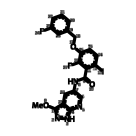 COc1n[nH]c2ncc(NC(=O)c3c(I)ccc(OCc4cccc(F)c4)c3F)cc12